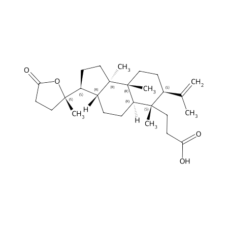 C=C(C)[C@@H]1CC[C@]2(C)[C@H](CC[C@@H]3[C@@H]([C@]4(C)CCC(=O)O4)CC[C@]32C)[C@@]1(C)CCC(=O)O